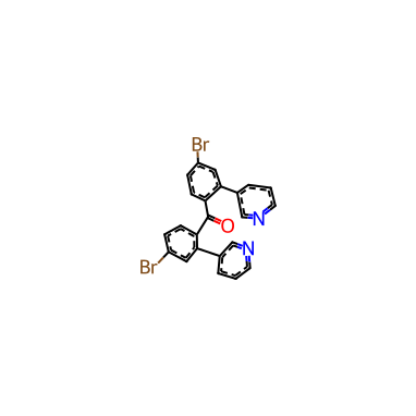 O=C(c1ccc(Br)cc1-c1cccnc1)c1ccc(Br)cc1-c1cccnc1